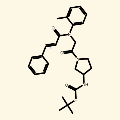 Cc1ccccc1N(CC(=O)N1CCC(NC(=O)OC(C)(C)C)C1)C(=O)/C=C/c1ccccc1